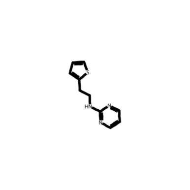 c1cnc(NCCc2cccs2)nc1